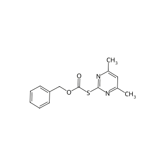 Cc1cc(C)nc(SC(=O)OCc2ccccc2)n1